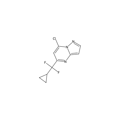 FC(F)(c1cc(Cl)n2nccc2n1)C1CC1